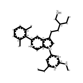 CCc1cc(-n2cc(CCC(CC)CO)c3cc(-c4c(C)cccc4C)ncc32)nc(OC)n1